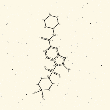 CC(C)c1nc2nc(C(=O)NC3CCOCC3)ccn2c1S(=O)(=O)N1CCC(F)(F)CC1